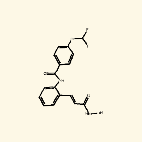 O=C(C=Cc1ccccc1NC(=O)c1ccc(OC(F)F)cc1)NO